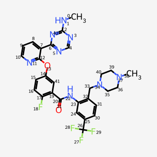 CNc1ncnc(-c2cccnc2Oc2ccc(F)c(C(=O)Nc3cc(C(F)(F)F)ccc3CN3CCN(C)CC3)c2)n1